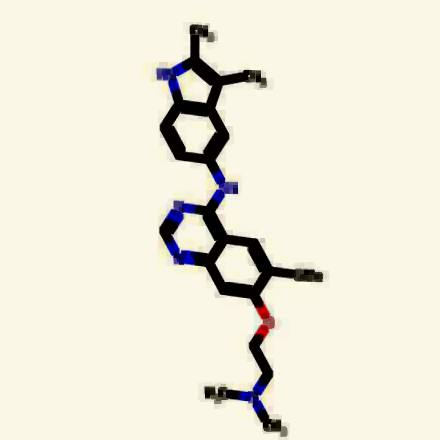 COc1cc2c(Nc3ccc4[nH]c(C)c(C)c4c3)ncnc2cc1OCCN(C)C